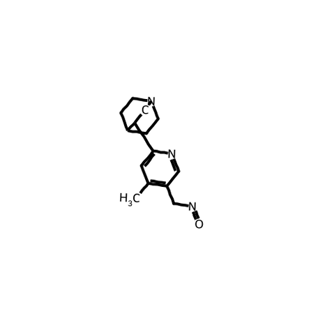 Cc1cc(C2CN3CCC2CC3)ncc1CN=O